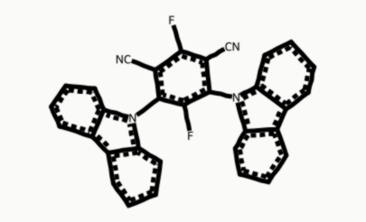 N#Cc1c(F)c(C#N)c(-n2c3ccccc3c3ccccc32)c(F)c1-n1c2ccccc2c2ccccc21